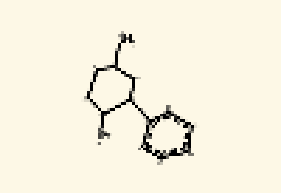 CC(C)C1CCC(N)CC1c1ccccc1